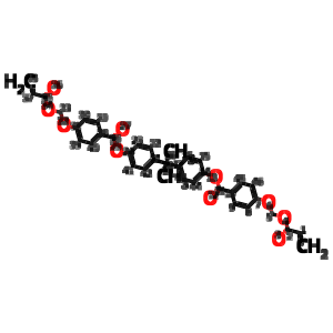 C=CC(=O)OCOc1ccc(C(=O)Oc2ccc(C(C)(C)c3ccc(OC(=O)c4ccc(OCOC(=O)C=C)cc4)cc3)cc2)cc1